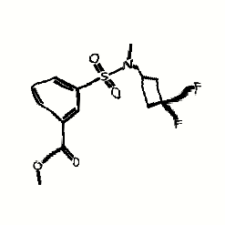 COC(=O)c1cccc(S(=O)(=O)N(C)C2CC(F)(F)C2)c1